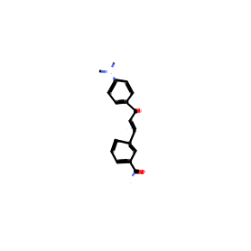 CN(C)c1ccc(C(=O)/C=C/c2cccc(C(N)=O)c2)cc1